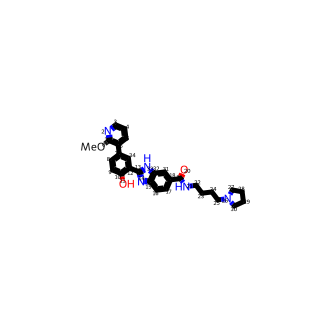 COc1ncccc1-c1ccc(O)c(-c2nc3ccc(C(=O)NCCCCN4CCCC4)cc3[nH]2)c1